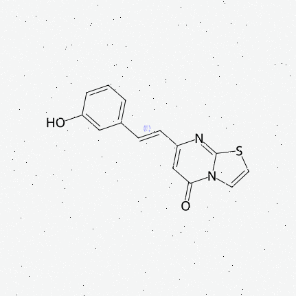 O=c1cc(/C=C/c2cccc(O)c2)nc2sccn12